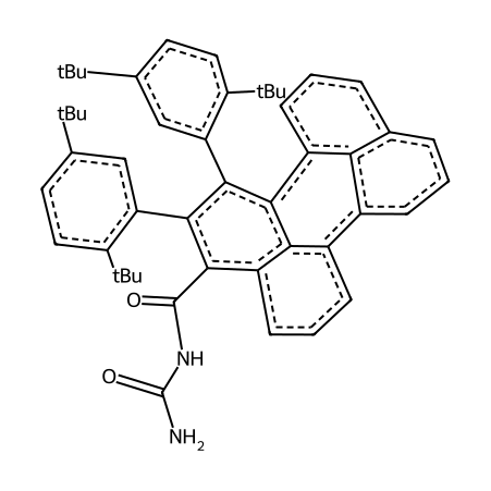 CC(C)(C)c1ccc(C(C)(C)C)c(-c2c(C(=O)NC(N)=O)c3cccc4c5cccc6cccc(c(c2-c2cc(C(C)(C)C)ccc2C(C)(C)C)c34)c65)c1